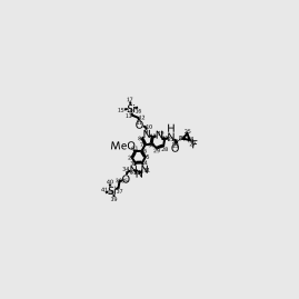 COc1cc2c(cc1-c1cn(COCC[Si](C)(C)C)c3nc(NC(=O)[C@@H]4C[C@@H]4F)ccc13)nnn2COCC[Si](C)(C)C